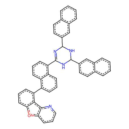 c1ccc2cc(C3N=C(c4cccc5c(-c6cccc7oc8cccnc8c67)cccc45)NC(c4ccc5ccccc5c4)N3)ccc2c1